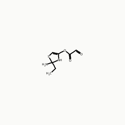 CCC1(N)NC(OC(=O)C=O)=CS1